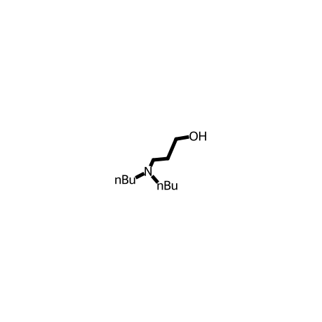 CCCCN(CCCC)CCCO